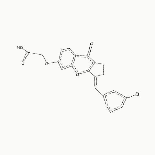 O=C(O)COc1ccc2c(=O)c3c(oc2c1)/C(=C/c1cccc(Cl)c1)CC3